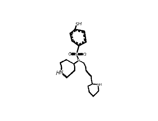 O=S(=O)(c1ccc(S)cc1)N(CCCC1CCCCN1)C1CCNCC1